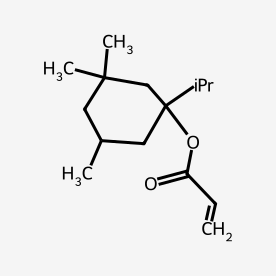 C=CC(=O)OC1(C(C)C)CC(C)CC(C)(C)C1